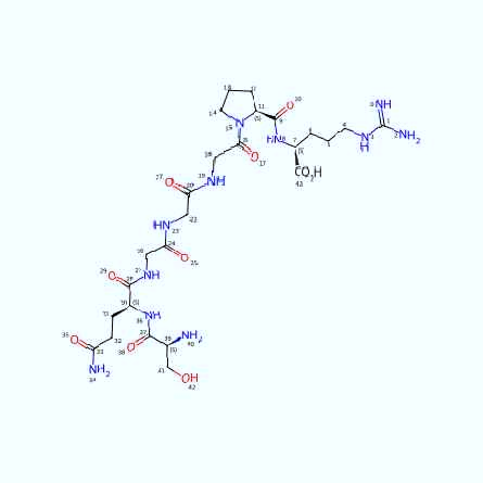 N=C(N)NCCC[C@H](NC(=O)[C@@H]1CCCN1C(=O)CNC(=O)CNC(=O)CNC(=O)[C@H](CCC(N)=O)NC(=O)[C@@H](N)CO)C(=O)O